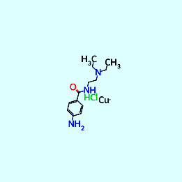 CCN(CC)CCNC(=O)c1ccc(N)cc1.Cl.[Cu]